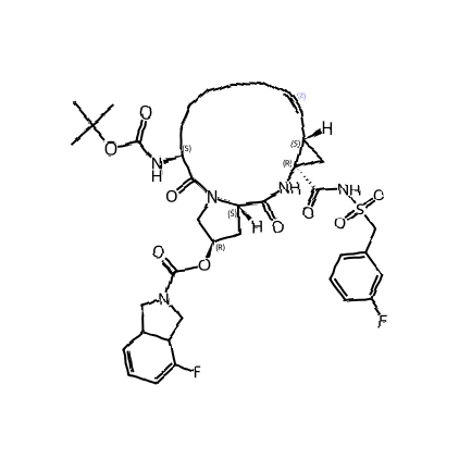 CC(C)(C)OC(=O)N[C@H]1CCCCC/C=C\[C@@H]2C[C@@]2(C(=O)NS(=O)(=O)Cc2cccc(F)c2)NC(=O)[C@@H]2C[C@@H](OC(=O)N3CC4C=CC=C(F)C4C3)CN2C1=O